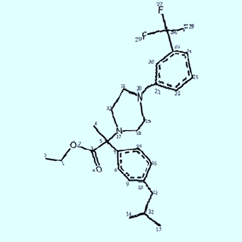 CCOC(=O)C(C)(c1ccc(CC(C)C)cc1)N1CCN(c2cccc(C(F)(F)F)c2)CC1